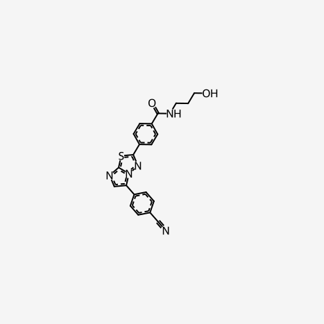 N#Cc1ccc(-c2cnc3sc(-c4ccc(C(=O)NCCCO)cc4)nn23)cc1